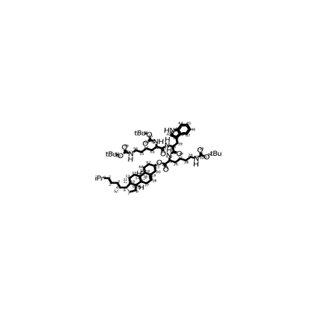 CC(C)CCC[C@@H](C)[C@H]1CC[C@@H]2[C@]1(C)CC[C@H]1[C@@]2(C)CC=C2CC(OC(=O)C(CCCCNC(=O)OC(C)(C)C)NC(=O)C(Cc3c[nH]c4ccccc34)NC(=O)C(CCCCNC(=O)OC(C)(C)C)NC(=O)OC(C)(C)C)CC[C@@]21C